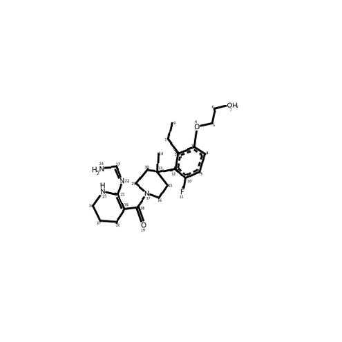 CCc1c(OCCO)ccc(F)c1C1(C)CCN(C(=O)C2=C(/N=C\N)NCCC2)CC1